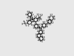 CC(C)(C)c1ccc2c3c(-c4cccc(N(c5ccc(-c6ccc7c(c6)CCC=C7)cc5)c5ccc6c(ccc7ccccc76)c5)c4)cc(C(C)(C)C)cc3n(-c3ccccc3)c2c1